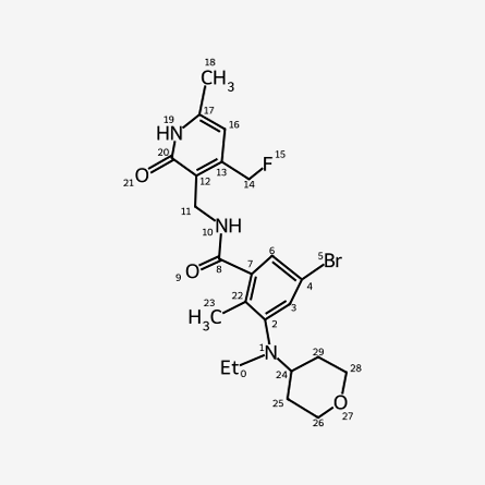 CCN(c1cc(Br)cc(C(=O)NCc2c(CF)cc(C)[nH]c2=O)c1C)C1CCOCC1